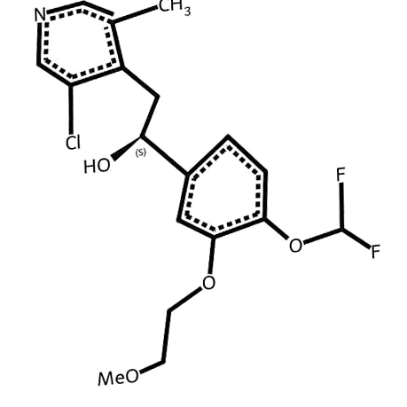 COCCOc1cc([C@@H](O)Cc2c(C)cncc2Cl)ccc1OC(F)F